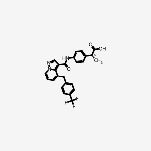 C[C@H](C(=O)O)c1ccc(NC(=O)c2cnn3cccc(Cc4ccc(C(F)(F)F)cc4)c23)cc1